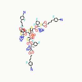 C[C@@H](S[C@H]1CO[C@H](/C=C/C=C/c2ccc(C#N)cc2F)OC1)[C@@](Cn1cncn1)(OC(=O)c1sccc1COP(=O)(OCc1ccsc1C(=O)O[C@@](Cn1cncn1)(c1ccc(F)cc1F)[C@@H](C)S[C@H]1CO[C@H](/C=C/C=C/c2ccc(C#N)cc2F)OC1)OCc1ccsc1C(=O)O[C@@](Cn1cncn1)(c1ccc(F)cc1F)[C@@H](C)S[C@H]1CO[C@H](/C=C/C=C/c2ccc(C#N)cc2F)OC1)c1ccc(F)cc1F